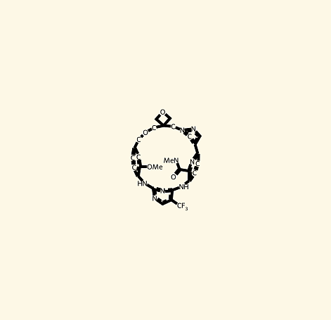 CNC(=O)c1nc2ccc1Nc1nc(ncc1C(F)(F)F)Nc1ccc(cc1OC)COCC1(COC1)Cn1cc-2cn1